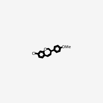 COc1ccc(C2C=Cc3ccc(Cl)cc3OC2)cc1